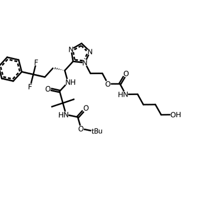 CC(C)(C)OC(=O)NC(C)(C)C(=O)N[C@H](CCC(F)(F)c1ccccc1)c1ncnn1CCOC(=O)NCCCCO